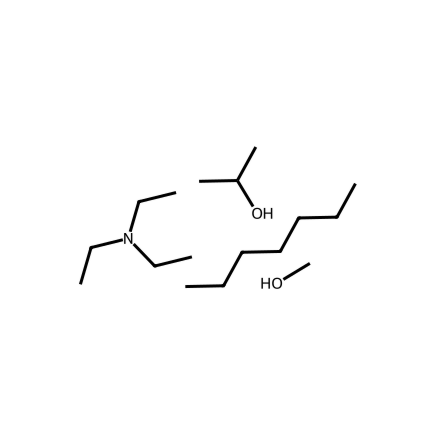 CC(C)O.CCCCCCC.CCN(CC)CC.CO